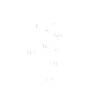 CCCCC(C)(CC)n1cc(F)c(=O)[nH]c1=O